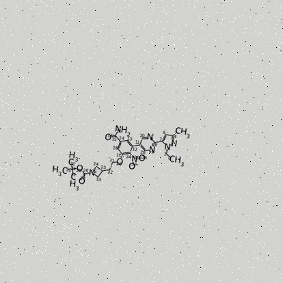 CCn1nc(C)cc1-c1ncc(-c2cc(C(N)=O)cc(OCCC3CN(C(=O)OC(C)(C)C)C3)c2[N+](=O)[O-])cn1